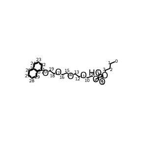 CCCCOP(=O)(O)OCCOCCOCCOCCOc1cccc2ccccc12